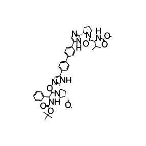 COC[C@H]1C[C@@H](c2ncc(-c3ccc(-c4ccc(-c5cnc([C@@H]6CC[C@H](C)N6C(=O)[C@@H](NC(=O)OC)C(C)C)[nH]5)cc4)cc3)[nH]2)N(C(=O)[C@H](NC(=O)OC(C)(C)C)c2ccccc2)C1